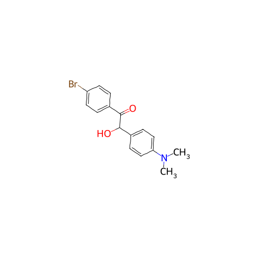 CN(C)c1ccc(C(O)C(=O)c2ccc(Br)cc2)cc1